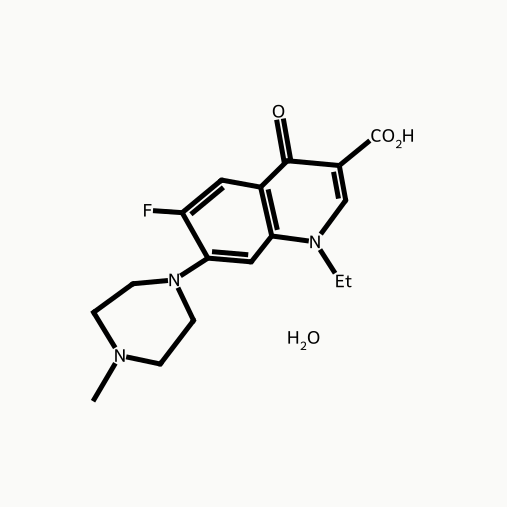 CCn1cc(C(=O)O)c(=O)c2cc(F)c(N3CCN(C)CC3)cc21.O